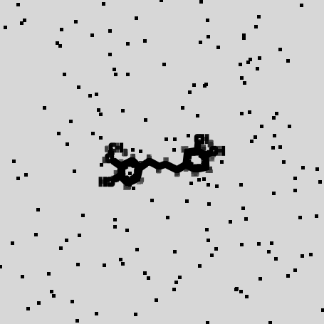 COc1cc(CCCCc2ccc(O)c(C)c2)ccc1O